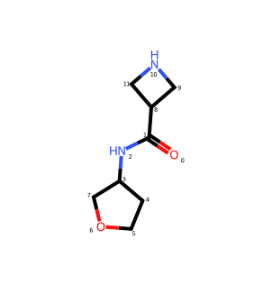 O=C(NC1CCOC1)C1CNC1